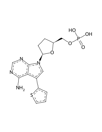 Nc1ncnc2c1c(-c1cccs1)cn2[C@H]1CC[C@@H](COP(=O)(O)O)O1